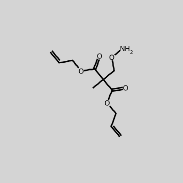 C=CCOC(=O)C(C)(CON)C(=O)OCC=C